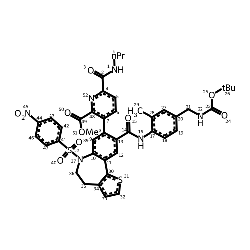 CCCNC(=O)c1ccc(-c2cc3c(cc2C(=O)Nc2ccc(CNC(=O)OC(C)(C)C)cc2C)-c2sccc2CCN3S(=O)(=O)c2ccc([N+](=O)[O-])cc2)c(C(=O)OC)n1